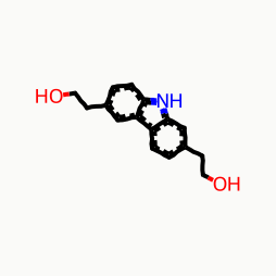 OCCc1ccc2c(c1)[nH]c1ccc(CCO)cc12